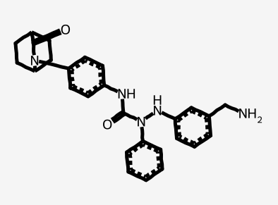 NCc1cccc(NN(C(=O)Nc2ccc(N3C(=O)C4CCC3CC4)cc2)c2ccccc2)c1